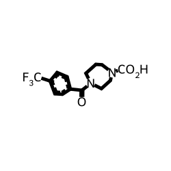 O=C(O)N1CCCN(C(=O)c2ccc(C(F)(F)F)cc2)CC1